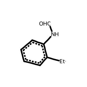 C[CH]c1ccccc1NC=O